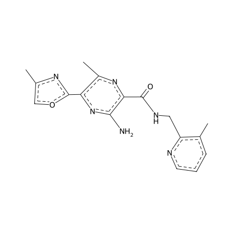 Cc1coc(-c2nc(N)c(C(=O)NCc3ncccc3C)nc2C)n1